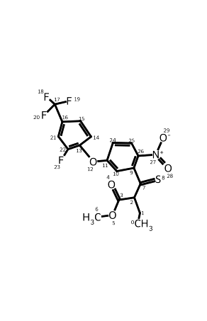 CCC(C(=O)OC)C(=S)c1cc(Oc2ccc(C(F)(F)F)cc2F)ccc1[N+](=O)[O-]